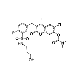 Cc1c(Cc2ccc(F)c(S(=O)(=O)NCCCO)c2)c(=O)oc2cc(OC(=O)N(C)C)c(Cl)cc12